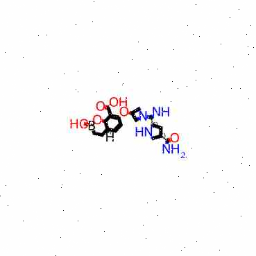 N=C([C@@H]1C[C@H](C(N)=O)CN1)N1CC(OC2=C(C(=O)O)C3OB(O)CC[C@H]3C=C2)C1